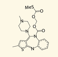 CSC(=O)OCOC(=O)N1C(N2CCN(C)CC2)=c2cc(C)sc2=Nc2ccccc21